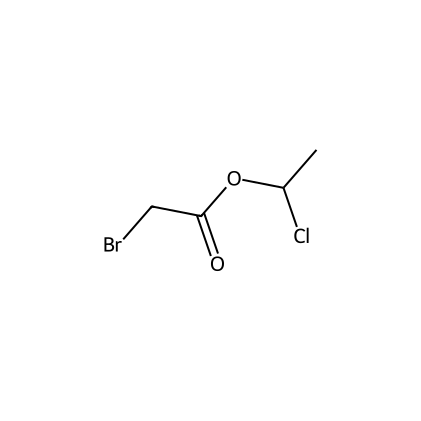 CC(Cl)OC(=O)CBr